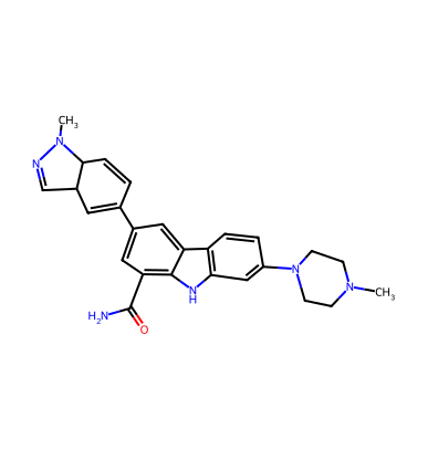 CN1CCN(c2ccc3c(c2)[nH]c2c(C(N)=O)cc(C4=CC5C=NN(C)C5C=C4)cc23)CC1